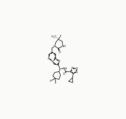 C[C@]1(F)CNC(=O)N(Cc2cnn3cc([C@@H](NC(=O)c4nonc4C4CC4)C4CCC(F)(F)CC4)nc3c2)C1